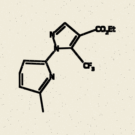 CCOC(=O)c1cnn(-c2cccc(C)n2)c1C(F)(F)F